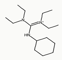 CCN(CC)C(NC1CCCCC1)=[N+](CC)CC